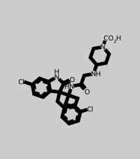 O=C(CNC1CCN(C(=O)O)CC1)NC1(C2(Cc3cccc(Cl)c3)C(=O)Nc3cc(Cl)ccc32)CCC1